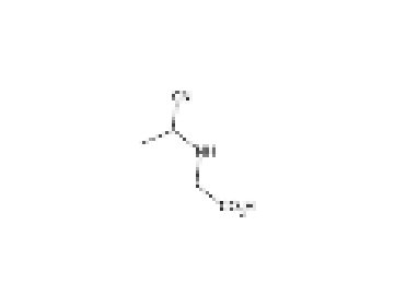 CC(C#N)NCC(=O)O